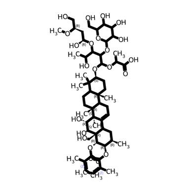 C/C=C(/C)C(=O)O[C@@H]1[C@H](C)CC2C3=CCC4[C@@]5(C)CC[C@H](OC(OC(C)C(=O)O)C(OC6OC(CO)C(O)C(O)C6O)C(O[C@@H](O)C[C@H](CO)OC)C(C)O)C(C)(C)C5CC[C@@]4(C)[C@]3(C)[C@@H](O)[C@@H](O)[C@@]2(CO)[C@H]1OC(=O)/C(C)=C\C